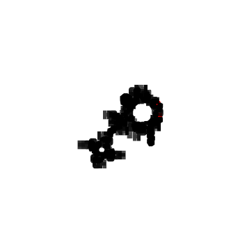 CCCCCC(=O)N[C@H]1CSC2=C(SC[C@@H](C(=O)N[C@@H](CC(=O)O)C(=O)N[C@@H](CCCCNC(=O)CN3CCN(CC(=O)O)CCN(CC(=O)O)CCN(CC(=O)O)CC3)C(N)=O)NC(=O)[C@H](Cc3ccccc3)NC(=O)[C@H](CCC(N)=O)NC(=O)[C@H]([C@@H](C)O)NC(=O)[C@@H]3CCCN3C(=O)[C@@H]3CCCN3C1=O)C(=O)NC2=O